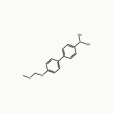 COCOc1ccc(-c2ccc(B(O)O)cc2)cc1